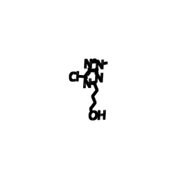 Cn1cnc2c(Cl)nc(CCCCO)nc21